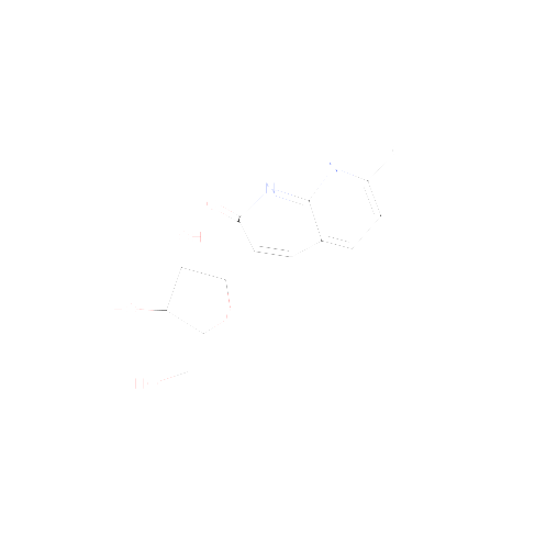 Cc1ccc2cc([C@@H]3O[C@H](CO)C(O)[C@@H]3O)c(=O)nc-2[nH]1